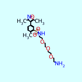 Cc1ccc(-c2c(C)noc2C)cc1S(=O)(=O)NCCOCCOCCOCCN